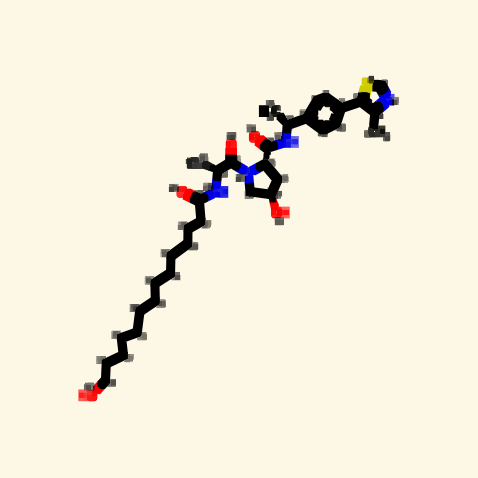 Cc1ncsc1-c1ccc([C@H](C)NC(=O)[C@@H]2C[C@@H](O)CN2C(=O)[C@@H](NC(=O)CCCCCCCCCCCCCO)C(C)(C)C)cc1